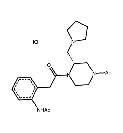 CC(=O)Nc1ccccc1CC(=O)N1CCN(C(C)=O)C[C@H]1CN1CCCC1.Cl